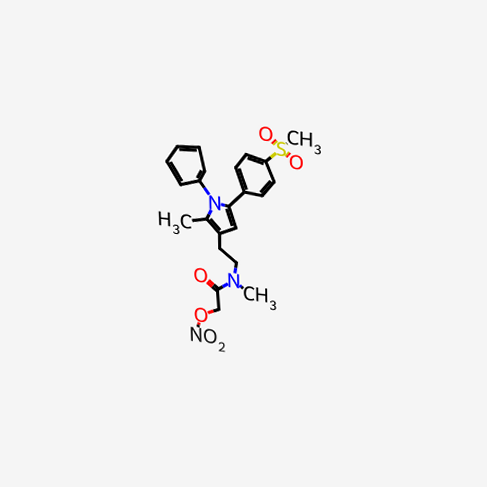 Cc1c(CCN(C)C(=O)CO[N+](=O)[O-])cc(-c2ccc(S(C)(=O)=O)cc2)n1-c1ccccc1